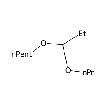 CCCCCOC(CC)OCCC